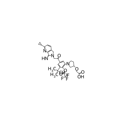 CC(C)(C)c1cc(C(=O)CN2Cc3ccc(C4CC4)nc3C2=N)cc(N2CCC(OCC(=O)O)C2)c1OC(=O)C(F)(F)F